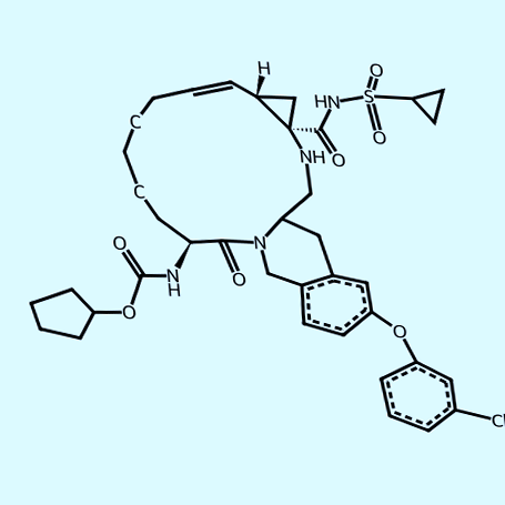 O=C(N[C@H]1CCCCC/C=C\[C@@H]2C[C@@]2(C(=O)NS(=O)(=O)C2CC2)NCC2Cc3cc(Oc4cccc(Cl)c4)ccc3CN2C1=O)OC1CCCC1